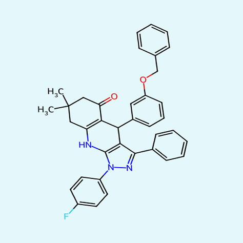 CC1(C)CC(=O)C2=C(C1)Nc1c(c(-c3ccccc3)nn1-c1ccc(F)cc1)C2c1cccc(OCc2ccccc2)c1